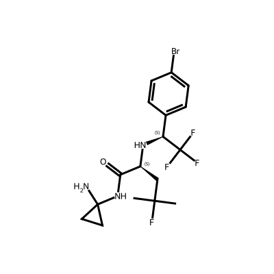 CC(C)(F)C[C@H](N[C@@H](c1ccc(Br)cc1)C(F)(F)F)C(=O)NC1(N)CC1